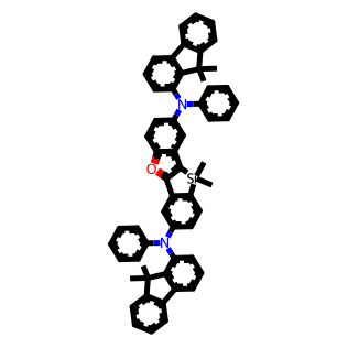 CC1(C)c2ccccc2-c2cccc(N(c3ccccc3)c3ccc4c(c3)-c3oc5ccc(N(c6ccccc6)c6cccc7c6C(C)(C)c6ccccc6-7)cc5c3[Si]4(C)C)c21